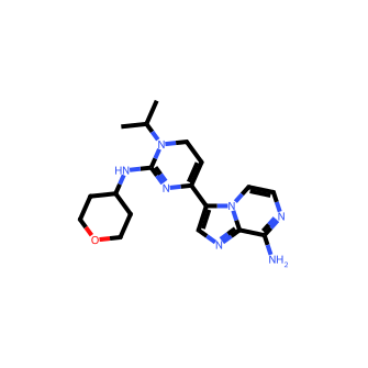 CC(C)N1CC=C(c2cnc3c(N)nccn23)N=C1NC1CCOCC1